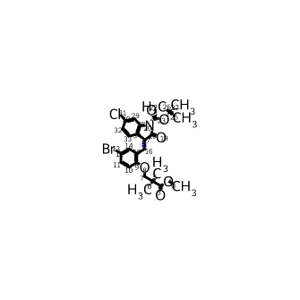 COC(=O)C(C)(C)COc1ccc(Br)cc1/C=C1/C(=O)N(C(=O)OC(C)(C)C)c2cc(Cl)ccc21